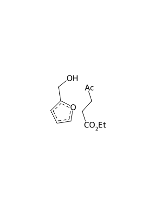 CCOC(=O)CCC(C)=O.OCc1ccco1